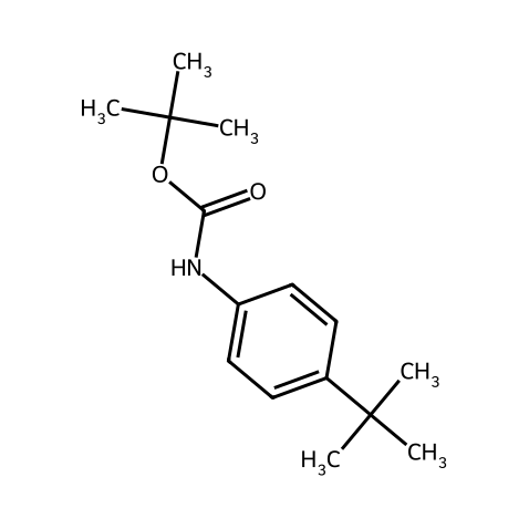 CC(C)(C)OC(=O)Nc1ccc(C(C)(C)C)cc1